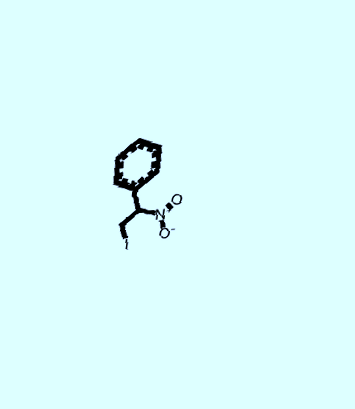 O=[N+]([O-])C(CI)c1ccccc1